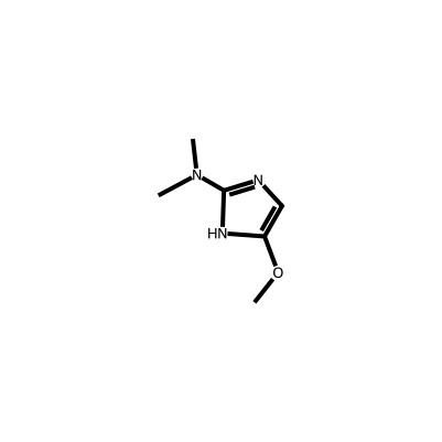 COc1cnc(N(C)C)[nH]1